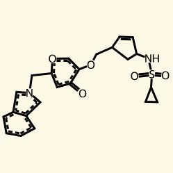 O=c1cc(Cn2cc3ccccc3c2)occ1OCC1C=CC(NS(=O)(=O)C2CC2)C1